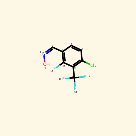 O/N=C\c1ccc(Cl)c(C(F)(F)F)c1F